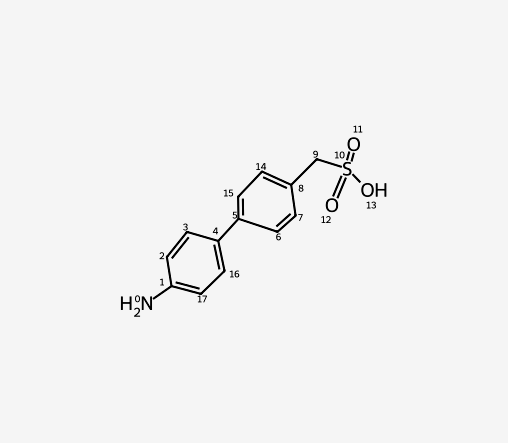 Nc1ccc(-c2ccc(CS(=O)(=O)O)cc2)cc1